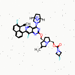 C#Cc1c(F)ccc2cccc(-c3ncc4c(N5C[C@H]6CC[C@@H](C5)N6)nc(OC[C@@]56CC[C@@H](COC(=O)N7CC(F)C7)N5CC(=C)C6)nc4c3F)c12